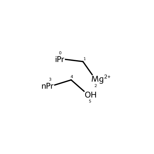 CC(C)[CH2][Mg+2].CCCCO